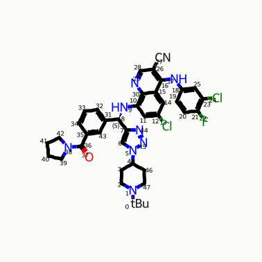 CC(C)(C)N1CCC(n2cc([C@@H](Nc3cc(Cl)cc4c(Nc5ccc(F)c(Cl)c5)c(C#N)cnc34)c3cccc(C(=O)N4CCCC4)c3)nn2)CC1